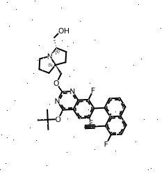 C#Cc1c(F)ccc2cccc(-c3c(F)cc4c(OC(C)(C)C)nc(OC[C@@]56CCCN5[C@H](CO)CC6)nc4c3F)c12